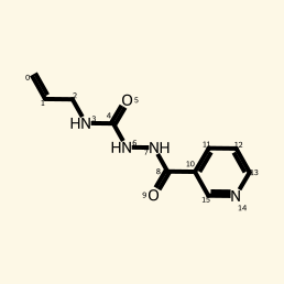 C=CCNC(=O)NNC(=O)c1cccnc1